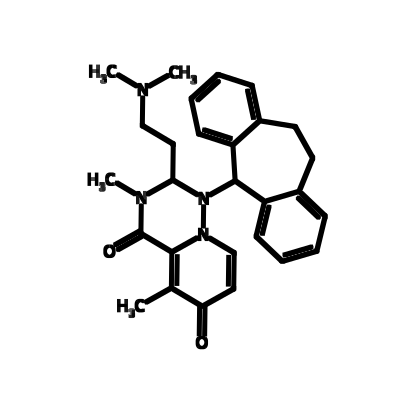 Cc1c2n(ccc1=O)N(C1c3ccccc3CCc3ccccc31)C(CCN(C)C)N(C)C2=O